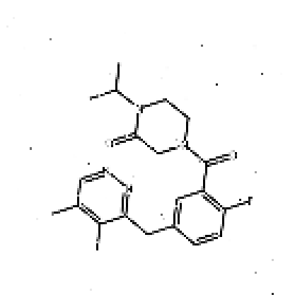 Cc1[c]nnc(Cc2ccc(F)c(C(=O)N3CCN(C(C)C)C(=O)C3)c2)c1C